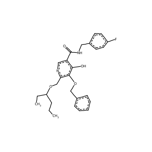 CCCC(CC)OCc1ncc(C(=O)NCc2ccc(F)cc2)c(O)c1OCc1ccccc1